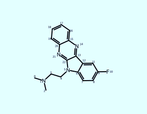 CN(C)CCn1c2ccc(F)cc2c2nc3ccccc3nc21